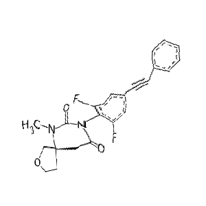 CN1C(=O)N(c2c(F)cc(C#Cc3ccccc3)cc2F)C(=O)C[C@]12CCOC2